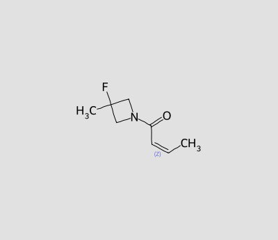 C/C=C\C(=O)N1CC(C)(F)C1